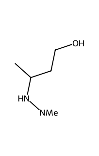 CNNC(C)CCO